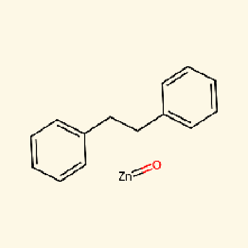 [O]=[Zn].c1ccc(CCc2ccccc2)cc1